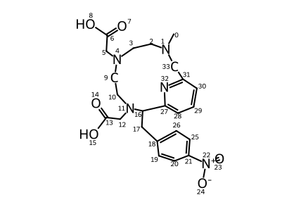 CN1CCN(CC(=O)O)CCN(CC(=O)O)C(Cc2ccc([N+](=O)[O-])cc2)c2cccc(n2)C1